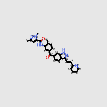 Cc1cc(C(=O)Nc2cc(C(=O)c3ccc4c(/C=C/c5ccccn5)n[nH]c4c3)ccc2C)n(C)n1